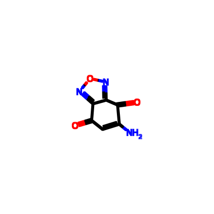 NC1=CC(=O)c2nonc2C1=O